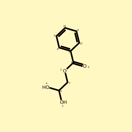 O=C(OC[C](O)O)c1ccccc1